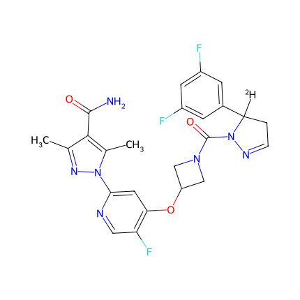 [2H]C1(c2cc(F)cc(F)c2)CC=NN1C(=O)N1CC(Oc2cc(-n3nc(C)c(C(N)=O)c3C)ncc2F)C1